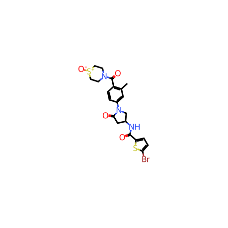 Cc1cc(N2CC(NC(=O)c3ccc(Br)s3)CC2=O)ccc1C(=O)N1CC[S+]([O-])CC1